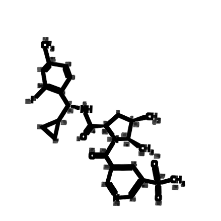 C[C@@H]1C[C@H](C(=O)N[C@@H](c2ccc(C(F)(F)F)cc2F)C2CC2)N(C(=O)c2cncc(S(C)(=O)=O)c2)[C@@H]1C